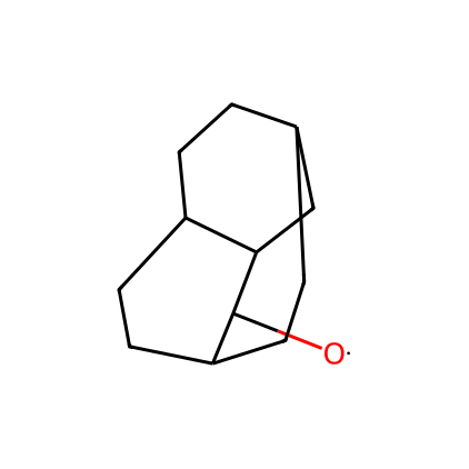 [O]C1C2CCC3CCC(CC2)C1C3